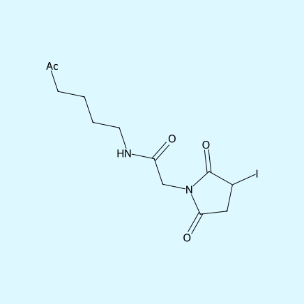 CC(=O)CCCCNC(=O)CN1C(=O)CC(I)C1=O